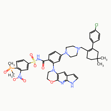 CC1(C)CCC(CN2CCN(c3ccc(C(=O)NS(=O)(=O)c4ccc(P(C)(C)=O)c([N+](=O)[O-])c4)c(N4CCOc5nc6[nH]ccc6cc54)c3)CC2)=C(c2ccc(Cl)cc2)C1